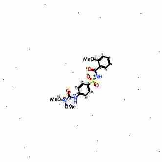 COc1ccccc1C(=O)NS(=O)(=O)c1ccc(NC(=O)N(OC)OC)cc1